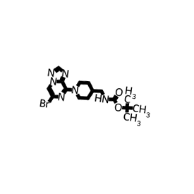 CC(C)(C)OC(=O)NCC1CCN(c2nc(Br)cn3ncnc23)CC1